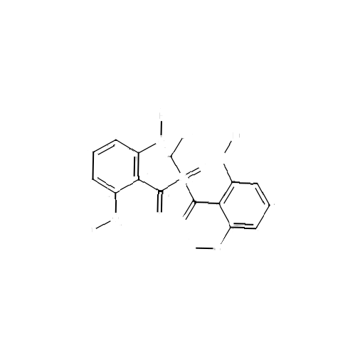 CCOc1cccc(OCC)c1C(=O)P(=O)(CC(C)C)C(=O)c1c(OCC)cccc1OCC